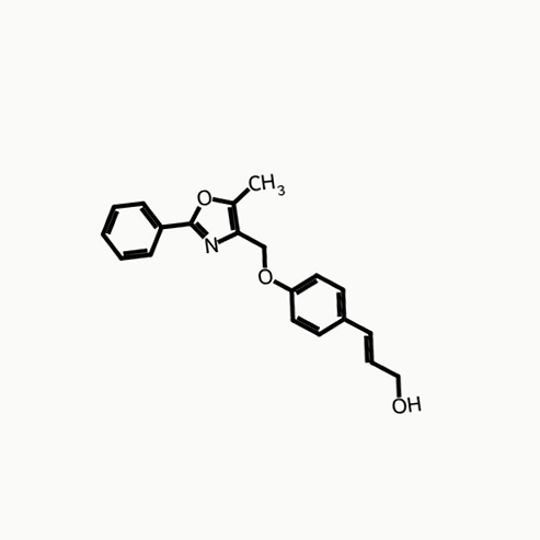 Cc1oc(-c2ccccc2)nc1COc1ccc(C=CCO)cc1